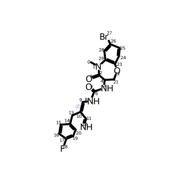 CN1C(=O)C(NC(=O)N/C=C(\C=N)Cc2ccc(F)cc2)COc2ccc(Br)cc21